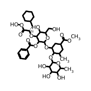 COC(=O)C1CC(C)C(OC2OC(C)C(O)C(O)C2O)C(OC2OC(CO)C(O)C(O[C@@H](CC3CCCCC3)C(=O)OO)C2OC(=O)c2ccccc2)C1